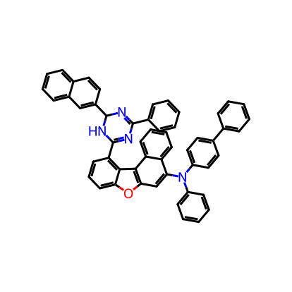 c1ccc(C2=NC(c3ccc4ccccc4c3)NC(c3cccc4oc5cc(N(c6ccccc6)c6ccc(-c7ccccc7)cc6)c6ccccc6c5c34)=N2)cc1